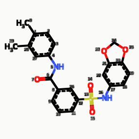 Cc1ccc(NC(=O)c2cccc(S(=O)(=O)Nc3ccc4c(c3)OCO4)c2)cc1C